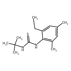 CCc1cc(C)cc(C)c1NC(=S)NC(C)(C)C